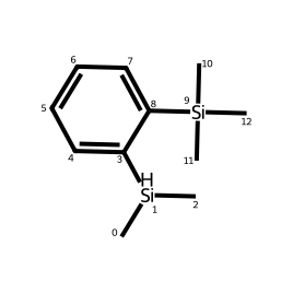 C[SiH](C)c1ccccc1[Si](C)(C)C